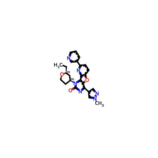 CC[C@H]1C[C@@H](n2c(=O)nc(-c3cnn(C)c3)c3oc4ccc(-c5cccnc5)nc4c32)CCO1